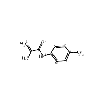 C=C(C)C(=O)Nc1ccc(C(F)(F)F)cc1